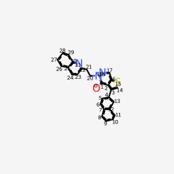 O=c1c2c(-c3ccc4ccccc4c3)csc2cnn1CCc1ccc2ccccc2n1